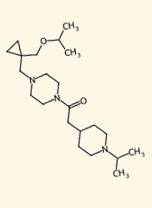 CC(C)OCC1(CN2CCN(C(=O)CC3CCN(C(C)C)CC3)CC2)CC1